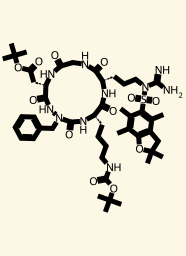 Cc1c(C)c(S(=O)(=O)N(CCC[C@@H]2NC(=O)[C@H](CCCCNC(=O)OC(C)(C)C)NC(=O)N(Cc3ccccc3)NC(=O)[C@H](CC(=O)OC(C)(C)C)NC(=O)CNC2=O)C(=N)N)c(C)c2c1OC(C)(C)C2